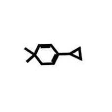 CC1(C)C=CC(C2CC2)=CC1